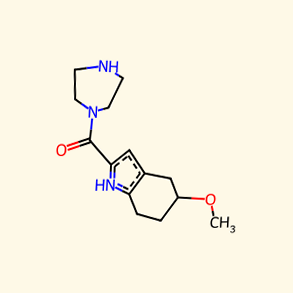 COC1CCc2[nH]c(C(=O)N3CCNCC3)cc2C1